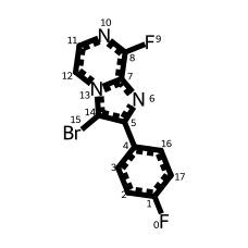 Fc1ccc(-c2nc3c(F)nccn3c2Br)cc1